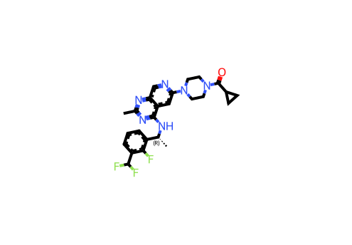 Cc1nc(N[C@H](C)c2cccc(C(F)F)c2F)c2cc(N3CCN(C(=O)C4CC4)CC3)ncc2n1